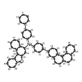 c1ccc(-c2ccc(N(c3ccc(-c4ccc5c(ccc6ccc7ccccc7c65)c4)cc3)c3cc4oc5ccccc5c4c4ccccc34)cc2)cc1